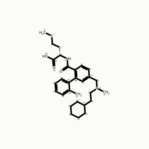 CSCC[C@H](NC(=O)c1ccc(CN(C)CCC2CCCCC2)cc1-c1ccccc1C)C(=O)O